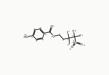 O=C(OCCC(F)(F)C(F)(F)[SH](=O)=O)c1ccc(O)cc1